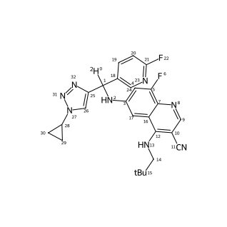 [2H]C(Nc1cc(F)c2ncc(C#N)c(NCC(C)(C)C)c2c1)(c1ccc(F)nc1)c1cn(C2CC2)nn1